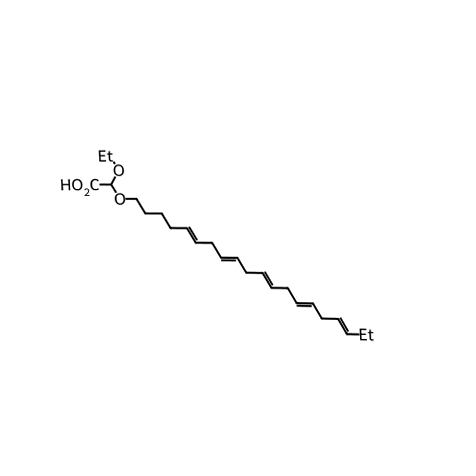 CCC=CCC=CCC=CCC=CCC=CCCCCOC(OCC)C(=O)O